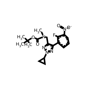 CN(Cc1nn(C2CC2)nc1-c1cccc([N+](=O)[O-])c1F)C(=O)OC(C)(C)C